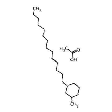 CC(=O)O.CCCCCCCCCCCCCCN1CCCC(C)C1